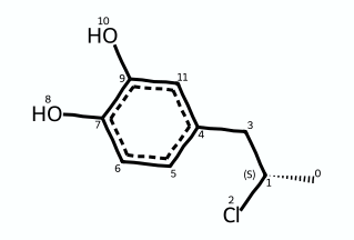 C[C@H](Cl)Cc1ccc(O)c(O)c1